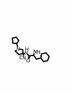 N#CC1(NC(=O)C(N)CC2CCCCC2)CCN(C2CCCC2)C1